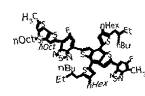 CCCCCCCC[Si]1(CCCCCCCC)c2cc(C)sc2-c2sc(-c3c(F)cc(-c4cc5c(-c6cc(CCCCCC)c(CC(CC)CCCC)s6)c6sc(-c7cc(F)c(C)c8nsnc78)cc6c(-c6cc(CCCCCC)c(CC(CC)CCCC)s6)c5s4)c4nsnc34)cc21